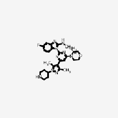 CNc1nc2cc(F)ccc2n1-c1nc(-c2c(C)nn(C3CCNCC3)c2C)cc(N2CCOC[C@H]2C)n1